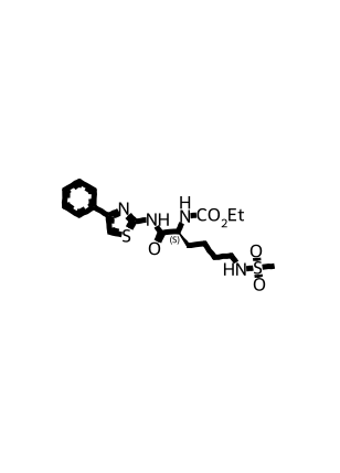 CCOC(=O)N[C@@H](CCCCNS(C)(=O)=O)C(=O)Nc1nc(-c2ccccc2)cs1